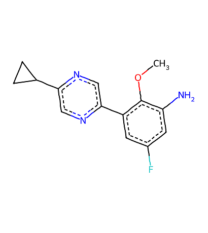 COc1c(N)cc(F)cc1-c1cnc(C2CC2)cn1